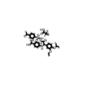 CCOc1cc(C(Nc2ccc(C(=N)N)cc2)C(=O)NNS(=O)(=O)c2ccc(C(C)=O)cc2)ccc1OC(C)C.O=C(O)C(F)(F)F